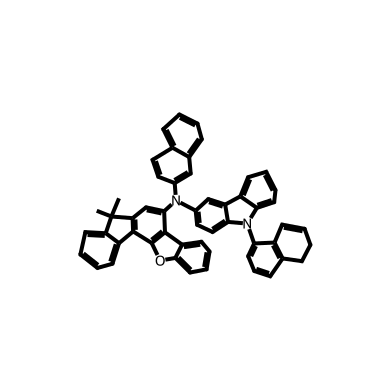 CC1(C)c2ccccc2-c2c1cc(N(c1ccc3ccccc3c1)c1ccc3c(c1)c1ccccc1n3-c1cccc3c1C=CCC3)c1c2oc2ccccc21